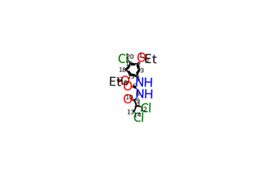 CCOc1cc(NC(=O)NC(=O)C(Cl)CCl)c(OCC)cc1Cl